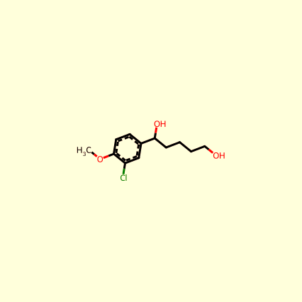 COc1ccc(C(O)CCCCO)cc1Cl